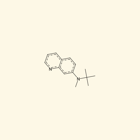 CN(c1ccc2cccnc2c1)C(C)(C)C